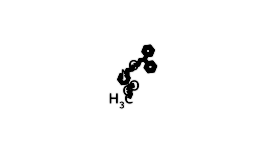 CCOC(=O)[C@@H]1CCCN(CCOCCC(c2ccccc2)c2ccccc2)C1